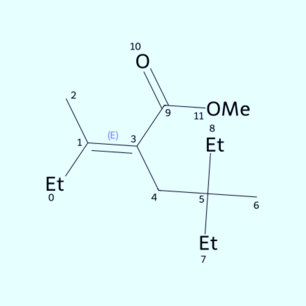 CC/C(C)=C(\CC(C)(CC)CC)C(=O)OC